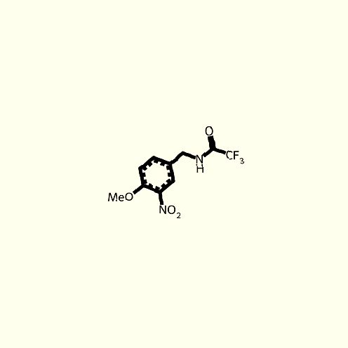 COc1ccc(CNC(=O)C(F)(F)F)cc1[N+](=O)[O-]